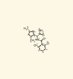 Cc1cc(C)n(C(NC(=O)c2c(Cl)cccc2Cl)C(N)=O)n1